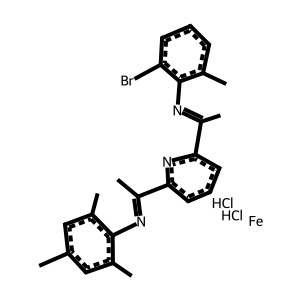 CC(=Nc1c(C)cc(C)cc1C)c1cccc(C(C)=Nc2c(C)cccc2Br)n1.Cl.Cl.[Fe]